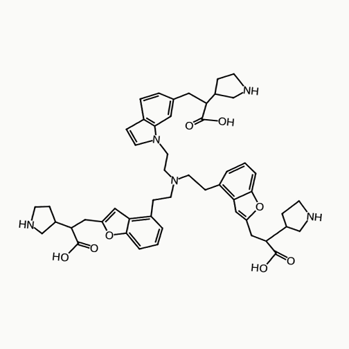 O=C(O)C(Cc1ccc2ccn(CCN(CCc3cccc4oc(CC(C(=O)O)C5CCNC5)cc34)CCc3cccc4oc(CC(C(=O)O)C5CCNC5)cc34)c2c1)C1CCNC1